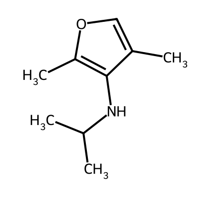 Cc1coc(C)c1NC(C)C